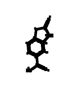 O=C1Cc2ccc(C(=O)O)nc2N1